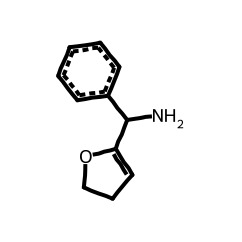 NC(C1=CCCO1)c1ccccc1